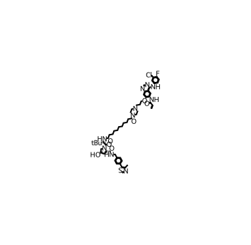 C=CC(=O)Nc1cc2c(Nc3ccc(F)c(Cl)c3)ncnc2cc1OCCCN1CCN(C(=O)CCCCCCCCCC(=O)N[C@H](C(=O)N2C[C@H](O)C[C@H]2C(=O)NCc2ccc(-c3scnc3C)cc2)C(C)(C)C)CC1